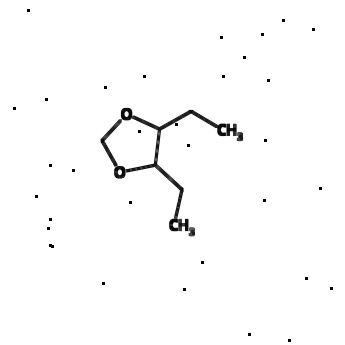 CCC1OCOC1CC